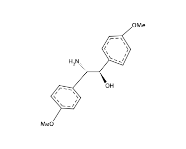 COc1ccc([C@@H](O)[C@@H](N)c2ccc(OC)cc2)cc1